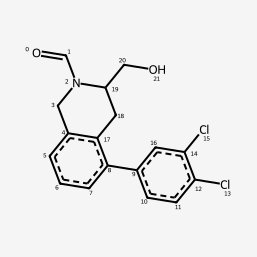 O=CN1Cc2cccc(-c3ccc(Cl)c(Cl)c3)c2CC1CO